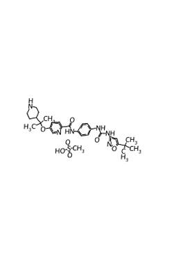 CC(C)(C)c1cc(NC(=O)Nc2ccc(NC(=O)c3ccc(OC(C)(C)C4CCNCC4)cn3)cc2)no1.CS(=O)(=O)O